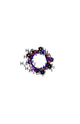 CC[C@@H]1NC(=O)[C@H](CC(C)C)NC(=O)[C@H](Cc2ccccc2)N(C)C(=O)[C@H](CC(C)C)N(C)C(=O)[C@H](Cc2ccccc2)NCC(C)NC(=O)C[C@@H](C(=O)N2CCCCC2)NC(=O)C(Cc2ccccc2)N(C)C(=O)N(C)[C@H](Cc2ccccc2)NC(=O)[C@H](CC(C)C)N(C)C1=O